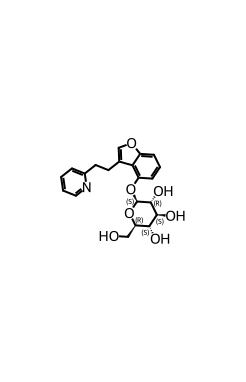 OC[C@H]1O[C@@H](Oc2cccc3occ(CCc4ccccn4)c23)[C@H](O)[C@@H](O)[C@@H]1O